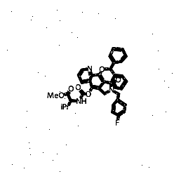 COC(=O)C(NC(=O)Oc1c2c(c(OC(c3ccccc3)c3ccccc3)c3ncccc13)C(=O)N(Cc1ccc(F)cc1)C2)C(C)C